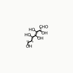 O=C[C@H](O)[C@H](O)[C@@H](O)[C@H](O)CCO